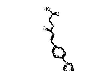 O=C(O)CCC(=O)C=Cc1ccc(-n2ccnc2)cc1